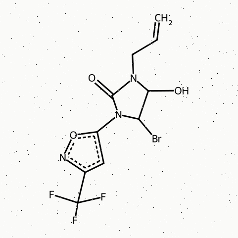 C=CCN1C(=O)N(c2cc(C(F)(F)F)no2)C(Br)C1O